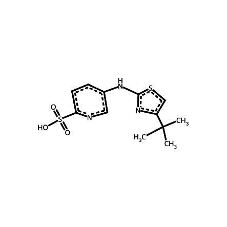 CC(C)(C)c1csc(Nc2ccc(S(=O)(=O)O)nc2)n1